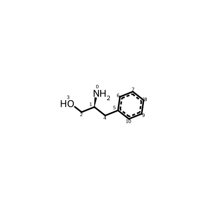 N[C@H](CO)Cc1cc[c]cc1